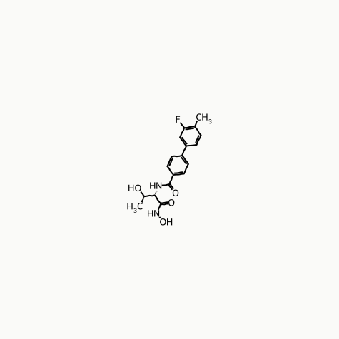 Cc1ccc(-c2ccc(C(=O)N[C@H](C(=O)NO)[C@@H](C)O)cc2)cc1F